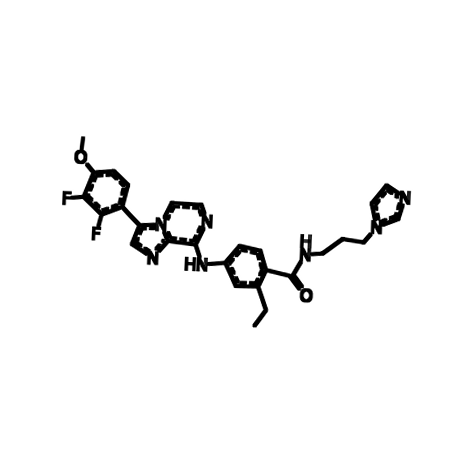 CCc1cc(Nc2nccn3c(-c4ccc(OC)c(F)c4F)cnc23)ccc1C(=O)NCCCn1ccnc1